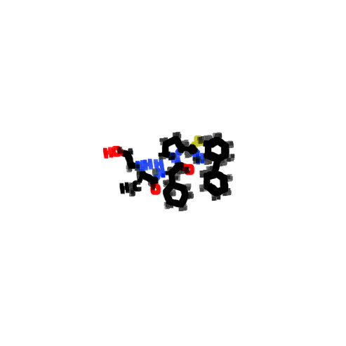 C[C@H](NCCO)C(=O)N[C@H](C(=O)N1CCC[C@H]1c1nc2c(-c3ccccc3)cccc2s1)C1CCCCC1